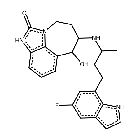 CC(CCc1cc(F)cc2cc[nH]c12)NC1CCn2c(=O)[nH]c3cccc(c32)C1O